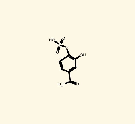 CC(=O)c1ccc(OS(=O)(=O)O)c(O)c1